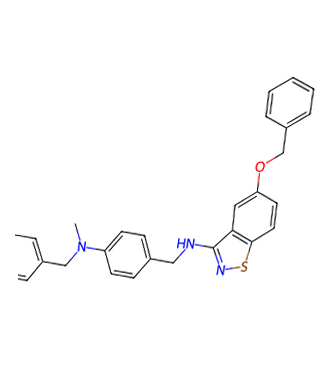 CN(Cc1ccccc1)c1ccc(CNc2nsc3ccc(OCc4ccccc4)cc23)cc1